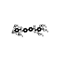 COc1cc(OC)c(C(=O)Nc2ccc(-c3ccc(OC(=O)c4cc(OC)c(OC)cc4OC)cc3)cc2)cc1OC